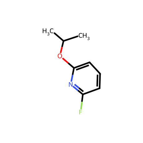 CC(C)Oc1cccc(F)n1